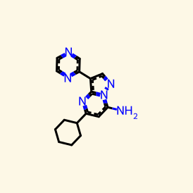 Nc1cc(C2CCCCC2)nc2c(-c3cnccn3)cnn12